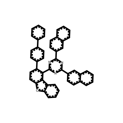 c1ccc(-c2ccc(-c3ccc4oc5ccccc5c4c3-c3nc(-c4ccc5ccccc5c4)nc(-c4ccc5ccccc5c4)n3)cc2)cc1